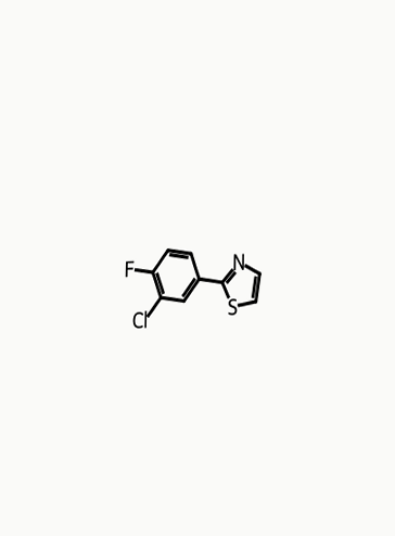 Fc1ccc(-c2nccs2)cc1Cl